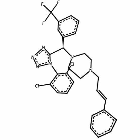 FC(F)(F)c1cccc([C@H](c2nnnn2-c2c(Cl)cccc2Cl)N2CCN(C/C=C/c3ccccc3)CC2)c1